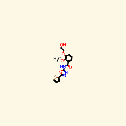 COc1c(OCCO)cccc1C(=O)Nc1nnc(-c2cccs2)o1